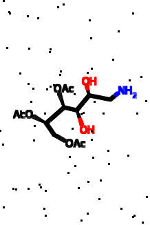 CC(=O)OC[C@@H](OC(C)=O)[C@@H](OC(C)=O)[C@H](O)[C@@H](O)CN